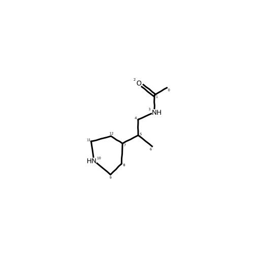 CC(=O)NCC(C)C1CCNCC1